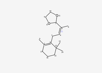 CC1=C(C/C=C(/C)C2OCCO2)C(C)(C)CCC1